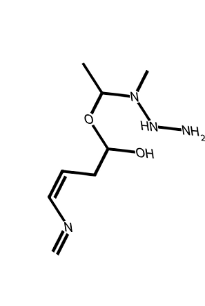 C=N/C=C\CC(O)OC(C)N(C)NN